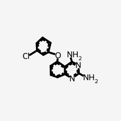 Nc1nc(N)c2c(Oc3cccc(Cl)c3)cccc2n1